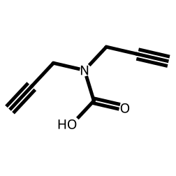 C#CCN(CC#C)C(=O)O